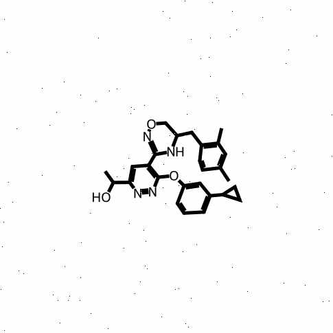 Cc1ccc(CC2CON=C(c3cc(C(C)O)nnc3Oc3cccc(C4CC4)c3)N2)c(C)c1